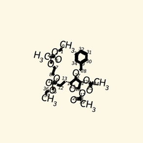 CCOP(C)(=O)OCCOP(=O)(CC[C@H]1O[C@@H](OC(C)=O)[C@@H](OC(C)=O)C1OCc1ccccc1)OCC